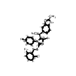 Cc1nc2ccc(C(O)c3c(I)nc(SCc4c(F)cccc4Cl)n3-c3ccc(F)cc3)cc2o1